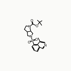 Cc1cncc2cccc(S(=O)(=O)N3CC4CCN(C(=O)OC(C)(C)C)C4C3)c12